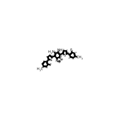 Cc1ccc(-c2ccc(-c3c(N)c(N)c(-c4ccc(-c5ccc(C)cc5F)s4)c4nsnc34)s2)c(F)c1